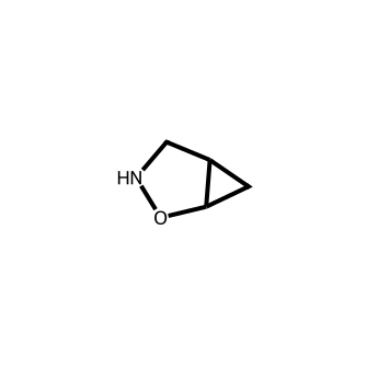 C1NOC2CC12